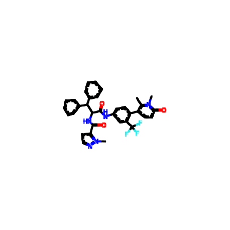 Cc1c(-c2ccc(NC(=O)C(NC(=O)c3ccnn3C)C(c3ccccc3)c3ccccc3)cc2C(F)(F)F)ccc(=O)n1C